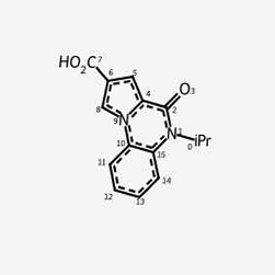 CC(C)n1c(=O)c2cc(C(=O)O)cn2c2ccccc21